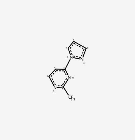 FC(F)(F)c1nccc(-n2cccn2)n1